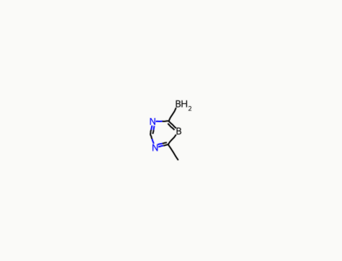 Bc1bc(C)ncn1